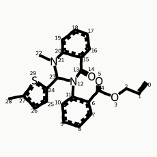 C=CCOC(=O)c1ccccc1N1C(=O)c2ccccc2N(C)C1c1ccc(C)s1